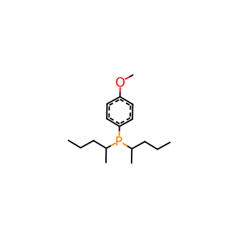 CCCC(C)P(c1ccc(OC)cc1)C(C)CCC